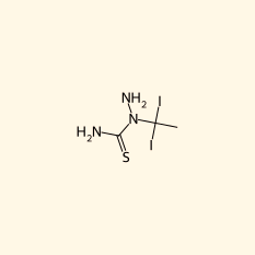 CC(I)(I)N(N)C(N)=S